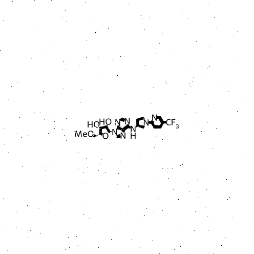 COC[C@H]1O[C@@H](n2cnc3c(N[C@H]4CCN(c5ccc(C(F)(F)F)cn5)C4)ncnc32)[C@H](O)[C@@H]1O